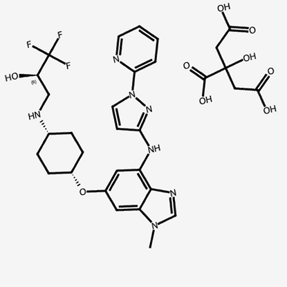 Cn1cnc2c(Nc3ccn(-c4ccccn4)n3)cc(O[C@H]3CC[C@@H](NC[C@@H](O)C(F)(F)F)CC3)cc21.O=C(O)CC(O)(CC(=O)O)C(=O)O